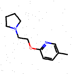 Cc1ccc(OCCN2CCCC2)nc1